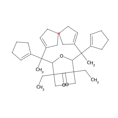 CCC1(C(OC(C2(CC)COC2)C(C)(C2=CCCC2)C2=CCCC2)C(C)(C2=CCCC2)C2=CCCC2)COC1